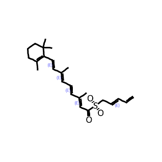 C=C/C=C/CS(=O)(=O)C(=O)/C=C(C)/C=C/C=C(C)/C=C/C1=C(C)CCCC1(C)C